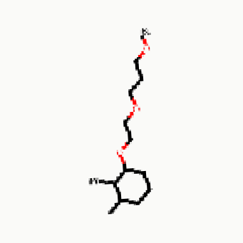 CCC(C)OCCCOCCOC1CCCC(C)C1C(C)C